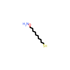 NOCCCCCCCCCCS